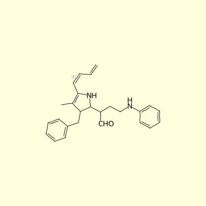 C=C/C=C\C1=C(C)C(Cc2ccccc2)C(C(C=O)CCNc2ccccc2)N1